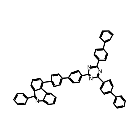 c1ccc(-c2ccc(-c3nc(-c4ccc(-c5ccccc5)cc4)nc(-c4ccc(-c5ccc(-c6cccc7c(-c8ccccc8)nc8ccccc8c67)cc5)cc4)n3)cc2)cc1